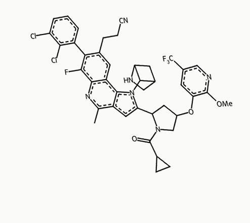 COc1ncc(C(F)(F)F)cc1OC1CC(c2cc3c(C)nc4c(F)c(-c5cccc(Cl)c5Cl)c(CCC#N)cc4c3n2C2C3CNC2C3)N(C(=O)C2CC2)C1